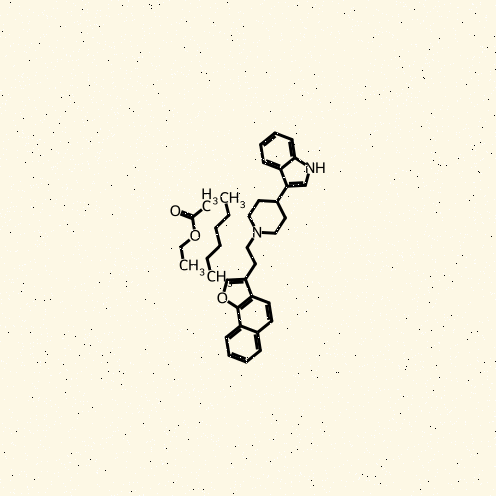 CCCCCC.CCOC(C)=O.c1ccc2c(c1)ccc1c(CCN3CCC(c4c[nH]c5ccccc45)CC3)coc12